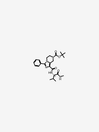 CNC(=O)[C@@H](NC(=O)c1nc(-c2ccccc2)n2c1CN(C(=O)OC(C)(C)C)CC2)C(C)C